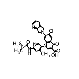 Cc1cc(NC(=O)N(C)C)ncc1-n1cc(C(=O)O)c(=O)c2cc(Cl)c(N3Cc4cccnc4C3)cc21